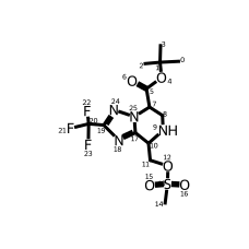 CC(C)(C)OC(=O)C1CNC(COS(C)(=O)=O)c2nc(C(F)(F)F)nn21